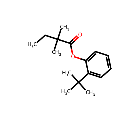 CCC(C)(C)C(=O)Oc1ccccc1C(C)(C)C